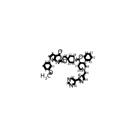 COc1cccc(-n2ccc3c(=O)n(CC4(O)CCN(C(=O)[C@@H]5CCN(Cc6cnc(-c7cncnc7)s6)C[C@H]5c5ccccc5)CC4)cnc32)c1